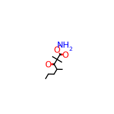 CCCC(C)C(=O)C(C)(C)C(=O)ON